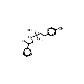 CC(C)(CCc1ccc(O)cc1)NCC(O)c1ccccc1.Cl